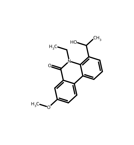 CCn1c(=O)c2cc(OC)ccc2c2cccc(C(C)O)c21